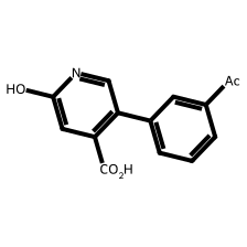 CC(=O)c1cccc(-c2cnc(O)cc2C(=O)O)c1